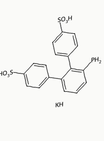 O=S(=O)(O)c1ccc(-c2cccc(P)c2-c2ccc(S(=O)(=O)O)cc2)cc1.[KH]